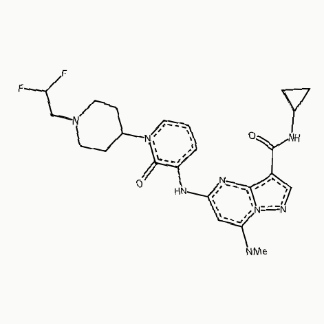 CNc1cc(Nc2cccn(C3CCN(CC(F)F)CC3)c2=O)nc2c(C(=O)NC3CC3)cnn12